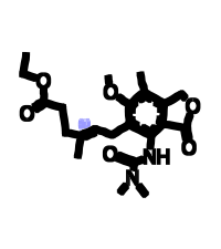 CCOC(=O)CC/C(C)=C/Cc1c(NC(=O)N(C)C)c2c(c(C)c1OC)COC2=O